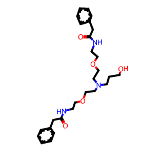 O=C(Cc1ccccc1)NCCOCCN(CCCO)CCOCCNC(=O)Cc1ccccc1